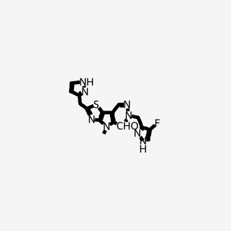 CN(Cc1n[nH]cc1F)/N=C\c1c(C=O)n(C)c2nc(Cc3cc[nH]n3)sc12